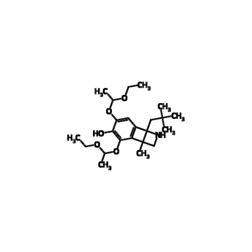 CCOC(C)Oc1cc2c(c(OC(C)OCC)c1O)C1(C)CNC21CC(C)(C)C